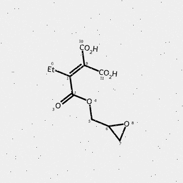 CCC(C(=O)OCC1CO1)=C(C(=O)O)C(=O)O